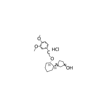 COc1ccc(CCO[C@H]2CCCC[C@@H]2N2CC[C@@H](O)C2)cc1OC.Cl